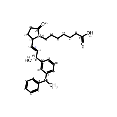 CN(c1ccccc1)c1cccc([C@H](O)/C=C/C2CCC(=O)N2CCCCCCC(=O)O)c1